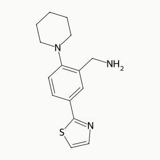 NCc1cc(-c2nccs2)ccc1N1CCCCC1